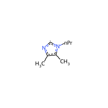 CCCn1[c]nc(C)c1C